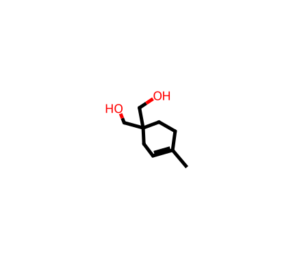 CC1=CCC(CO)(CO)CC1